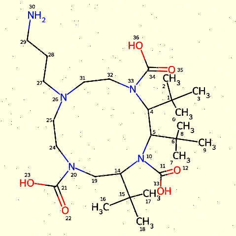 CC(C)(C)C1C(C(C)(C)C)N(C(=O)O)C(C(C)(C)C)CN(C(=O)O)CCN(CCCN)CCN1C(=O)O